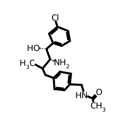 CC(=O)NCc1ccc(CC(C)[C@@H](N)[C@H](O)c2cccc(Cl)c2)cc1